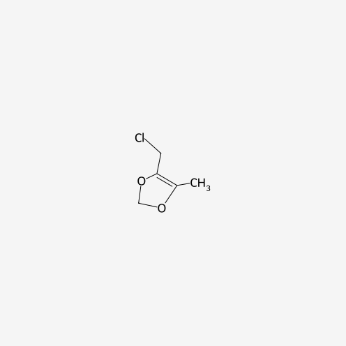 CC1=C(CCl)OCO1